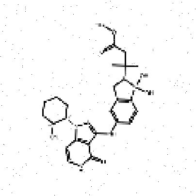 CC(C)(C)OC(=O)CC(C)(C)N1Cc2cc(Nc3nn([C@H]4CCCC[C@@H]4C#N)c4cc[nH]c(=O)c34)ccc2S1(O)O